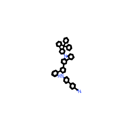 N#Cc1ccc(-c2ccc(Nc3ccc(-c4ccc5c(c4)c4ccccc4n5-c4ccc5c(c4)C(c4ccccc4)(c4ccccc4)c4ccccc4-5)cc3-c3ccccc3)cc2)cc1